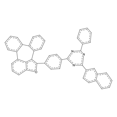 c1ccc(-c2nc(-c3ccc(-c4oc5cccc6c5c4-c4ccccc4-c4ccccc4-6)cc3)nc(-c3ccc4ccccc4c3)n2)cc1